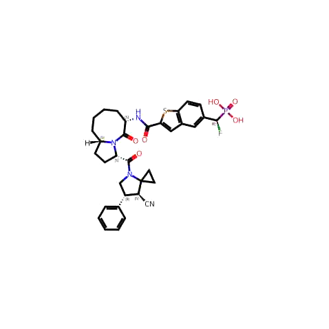 N#C[C@H]1[C@H](c2ccccc2)CN(C(=O)[C@@H]2CC[C@@H]3CCCC[C@H](NC(=O)c4cc5cc([C@H](F)P(=O)(O)O)ccc5s4)C(=O)N32)C12CC2